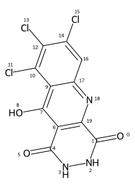 O=c1[nH][nH]c(=O)c2c(O)c3c(Cl)c(Cl)c(Cl)cc3nc12